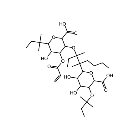 C=CC(=O)OC1C(O)C(C(C)(C)CC)OC(C(=O)O)C1OC(C)(CC)C(C)(CCCC)C1OC(C(=O)O)C(OC(C)(C)CC)C(O)C1O